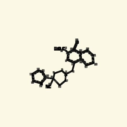 CCOC(=O)c1cc(CN2CCC(C#N)(c3ccccn3)CC2)c2ccccn2c1=O